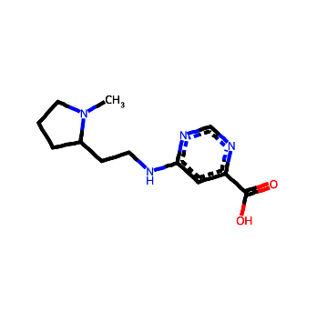 CN1CCCC1CCNc1cc(C(=O)O)ncn1